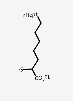 CCCCCCCCCCCCC([S])C(=O)OCC